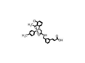 CCc1c(Cl)cccc1N(CC(=O)NCc1cccc(C=CC(=O)O)c1)S(=O)(=O)c1ccc(C)cc1